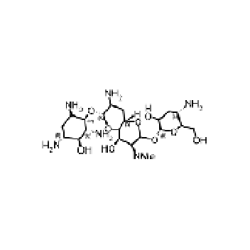 CNC1C(O[C@H]2OC(CO)[C@@H](N)CC2O)O[C@H]2CC(N)[C@@H](O[C@@H]3C(N)C[C@@H](N)C(O)[C@H]3N)OC2C1O